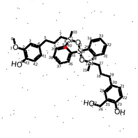 COc1cc(CCC[Si](C)(C)O[Si](O[Si](C)(C)CCCc2ccc(O)c(CO)c2)(c2ccccc2)c2ccccc2)ccc1O